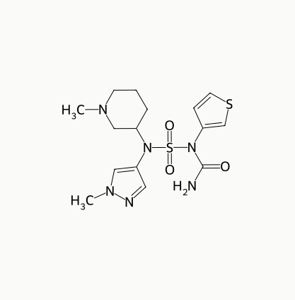 CN1CCCC(N(c2cnn(C)c2)S(=O)(=O)N(C(N)=O)c2ccsc2)C1